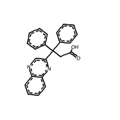 O=C(O)CC(c1ccccc1)(c1ccccc1)c1cnc2ccccc2n1